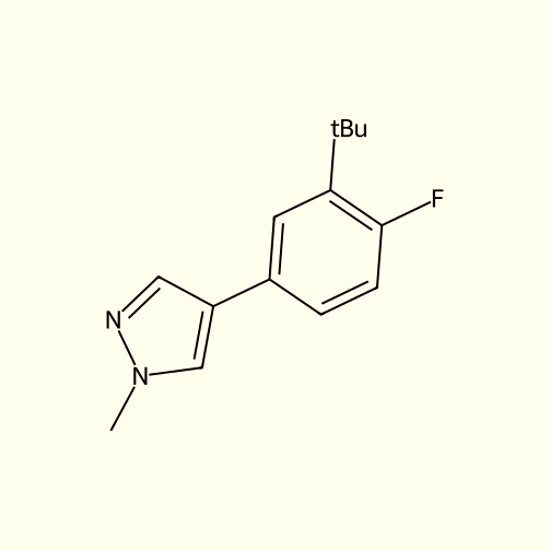 Cn1cc(-c2ccc(F)c(C(C)(C)C)c2)cn1